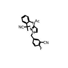 CC(=O)N(c1ccn(Cc2ccc(F)c(C#N)c2)n1)c1ccccc1C(C)(C)C#N